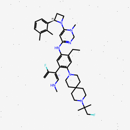 C=C(F)/C(=C\NC)c1cc(NC2=NCN(C)C(N3CC[C@@H]3c3cccc(C)c3C)=C2)c(CC)cc1N1CCC2(CC1)CCN(C(C)(C)CF)CC2